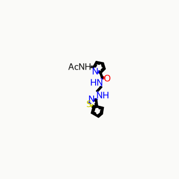 CC(=O)Nc1cccc(C(=O)NCCNc2nsc3ccccc23)n1